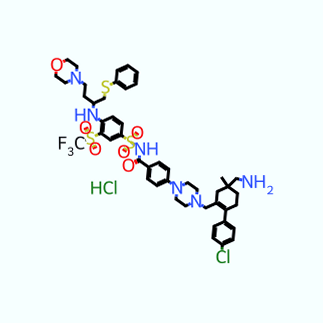 CC1(CN)CCC(c2ccc(Cl)cc2)=C(CN2CCN(c3ccc(C(=O)NS(=O)(=O)c4ccc(NC(CCN5CCOCC5)CSc5ccccc5)c(S(=O)(=O)C(F)(F)F)c4)cc3)CC2)C1.Cl